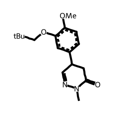 COc1ccc(C2C=NN(C)C(=O)C2)cc1OCC(C)(C)C